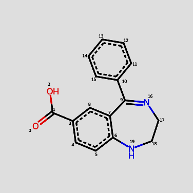 O=C(O)c1ccc2c(c1)C(c1ccccc1)=NCCN2